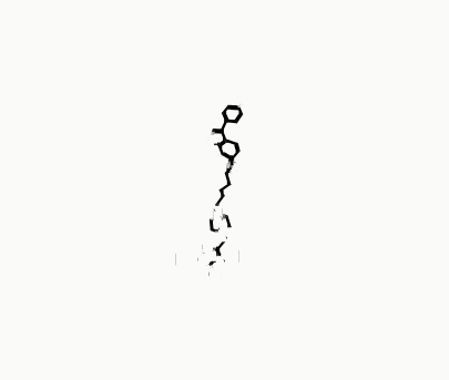 CC(C)NC(=O)CN1CCN(CCCCCOc2ccc3c(-c4ccc(Cl)cc4)csc3c2)CC1